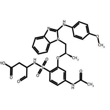 COc1ccc(Nc2nc3ccccc3n2C[C@@H](C)Oc2cc(NC(C)=O)ccc2S(=O)(=O)NC(C=O)CC(=O)O)cc1